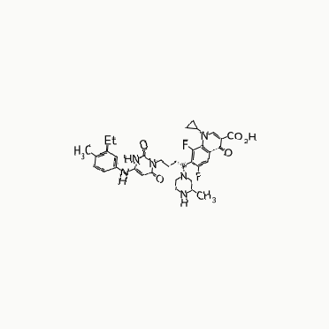 CCc1cc(Nc2cc(=O)n(CCC[C@H](c3c(F)cc4c(=O)c(C(=O)O)cn(C5CC5)c4c3F)N3CCNC(C)C3)c(=O)[nH]2)ccc1C